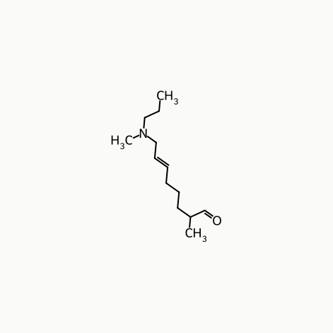 CCCN(C)CC=CCCCC(C)C=O